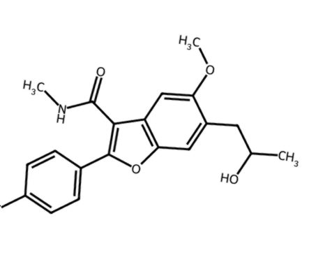 CNC(=O)c1c(-c2ccc(F)cc2)oc2cc(CC(C)O)c(OC)cc12